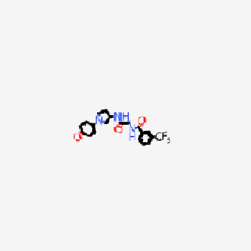 O=C1CCC(N2CC[C@@H](NC(=O)CNC(=O)c3cccc(C(F)(F)F)c3)C2)CC1